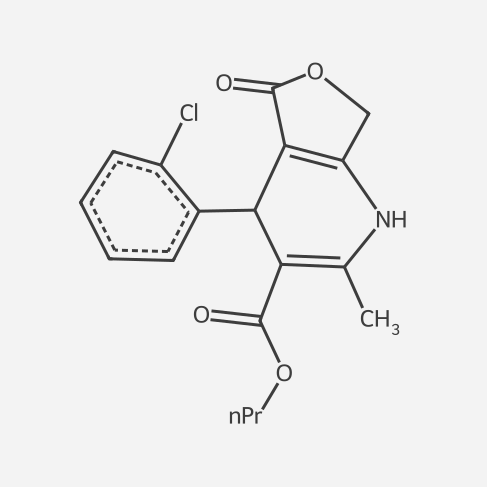 CCCOC(=O)C1=C(C)NC2=C(C(=O)OC2)C1c1ccccc1Cl